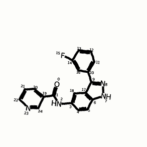 O=C(Nc1ccc2[nH]nc(-c3cccc(F)c3)c2c1)c1cccnc1